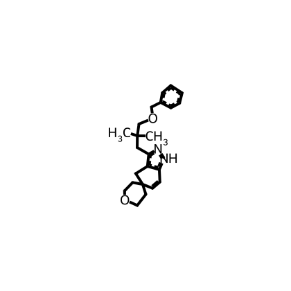 CC(C)(COCc1ccccc1)Cc1n[nH]c2c1CC1(C=C2)CCOCC1